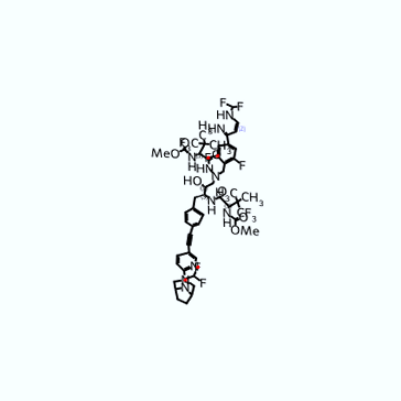 COC(=O)N[C@H](C(=O)N[C@@H](Cc1ccc(C#Cc2ccc(N3CC4CCC(C3)N4CC(F)F)nc2)cc1)[C@@H](O)CN(Cc1c(F)cc(C(=N)/C=C\NC(F)F)cc1F)NC(=O)[C@@H](NC(=O)OC)C(C)(C)C(F)(F)F)C(C)(C)C(F)(F)F